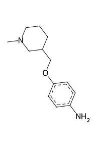 CN1CCCC(COc2ccc(N)cc2)C1